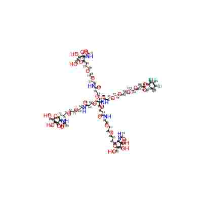 CC(=O)N[C@@H]1[C@@H](O)[C@@H](O)[C@@H](CO)O[C@@H]1CCCOCCOCCNC(=O)CCOCC(COCCC(=O)NCCOCCOCCC[C@H]1O[C@H](CO)[C@H](O)[C@H](O)[C@H]1NC(C)=O)(COCCC(=O)NCCOCCOCCC[C@H]1O[C@H](CO)[C@H](O)[C@H](O)[C@H]1NC(C)=O)NC(=O)CCOCCOCCOCCOCCC(=O)Oc1c(F)c(F)c(F)c(F)c1F